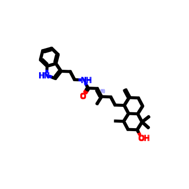 C=C1CCC2C(C(C)CC(O)C2(C)C)C1CC/C(C)=C/C(=O)NCCc1c[nH]c2ccccc12